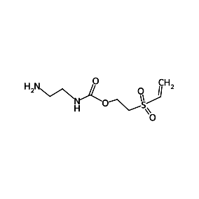 C=CS(=O)(=O)CCOC(=O)NCCN